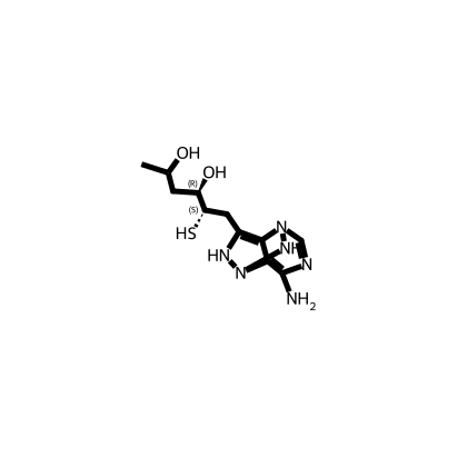 CC(O)C[C@@H](O)[C@@H](S)CC1=C2C3=C(N)N=CN2NN3N1